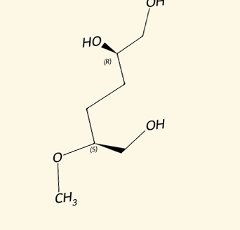 CO[C@H](CO)CC[C@@H](O)CO